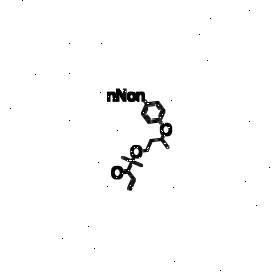 C=CC(=O)C(C)(C)OCCC(C)Oc1ccc(CCCCCCCCC)cc1